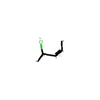 C/C=C\C(C)Cl